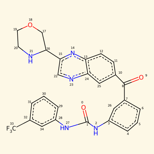 O=C(Nc1cccc(C(=O)c2ccc3nc(C4COCCN4)cnc3c2)c1)Nc1cccc(C(F)(F)F)c1